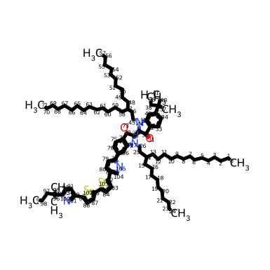 CCCCCCCCCCCCCCC(CCCCCCCCCC)CCN1/C(=C2\C(=O)c3ccc(C(C)(CC)CC)cc3N2CCC(CCCCCCCCCC)CCCCCCCCCCCCCC)C(=O)c2ccc(-c3ccc(-c4ccc(-c5ccc(-c6ccc(C(C)(C)CCC)nc6)s5)s4)cn3)cc21